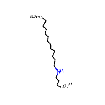 CCCCCCCCCCCCCCCCCCCCCCNCCCC(=O)O